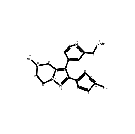 CNCc1cc(-c2c(-c3ccc(F)cc3)nn3c2CN(C(C)=O)CC3)ccn1